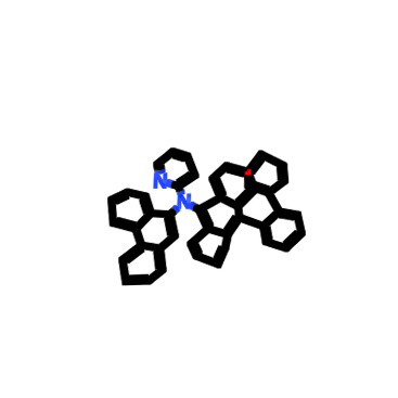 c1ccc(-c2ccccc2-c2c3ccccc3c(N(c3ccccn3)c3cc4ccccc4c4ccccc34)c3ccccc23)cc1